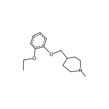 CCOc1c[c]ccc1OCC1CCN(C)CC1